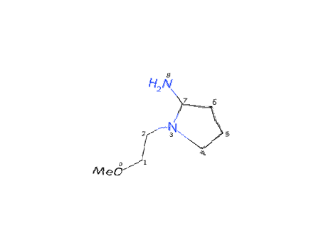 COCCN1CCCC1N